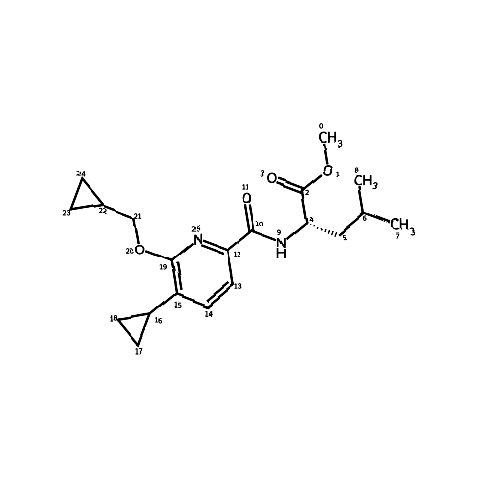 COC(=O)[C@H](CC(C)C)NC(=O)c1ccc(C2CC2)c(OCC2CC2)n1